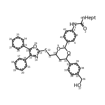 CCCCCCCC(=O)Nc1ccc(C2OC(CSc3nc(-c4ccccc4)c(-c4ccccc4)o3)CC(c3ccc(CO)cc3)O2)cc1